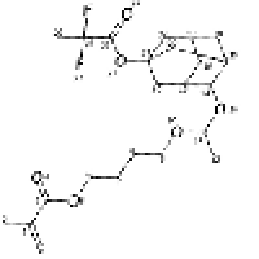 C=C(C)C(=O)OCCCCOC(C)OC1C2CC3CC1CC(OC(=O)C(C)(F)F)(C3)C2